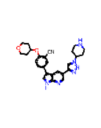 N#Cc1cc(-c2c[nH]c3ncc(-c4cn(C5CCNCC5)nn4)cc23)ccc1OC1CCOCC1